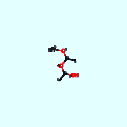 CCCOC(C)OC(C)O